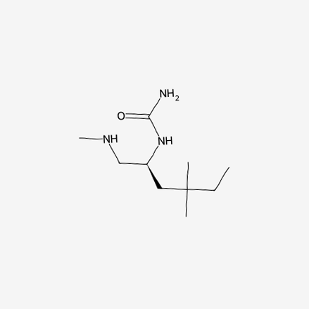 CCC(C)(C)C[C@@H](CNC)NC(N)=O